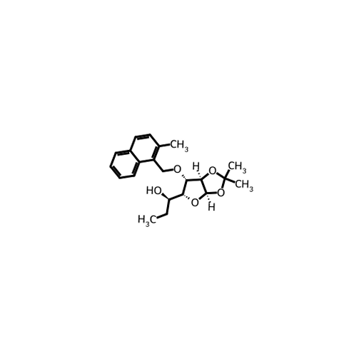 CC[C@@H](O)[C@H]1O[C@@H]2OC(C)(C)O[C@@H]2[C@H]1OCc1c(C)ccc2ccccc12